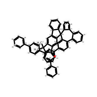 CC1(C)c2ccccc2-c2cc3c(cc21)-c1ccccc1C31c2ccccc2-c2ccccc2-c2ccc(-c3cc(-c4ccc(-c5cccnc5)cc4)nc(-c4ccccc4)n3)cc21